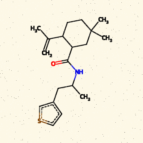 C=C(C)C1CCC(C)(C)CC1C(=O)NC(C)Cc1ccsc1